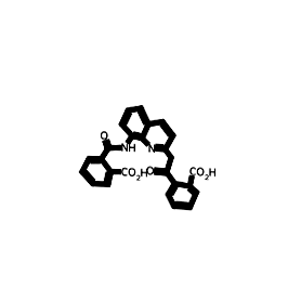 O=C(O)c1ccccc1C(=O)Cc1ccc2cccc(NC(=O)c3ccccc3C(=O)O)c2n1